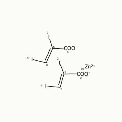 O=C([O-])/C(I)=C/I.O=C([O-])/C(I)=C/I.[Zn+2]